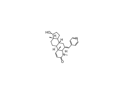 CN1C(=O)C=C[C@]2(C)[C@H]3CC[C@]4(C)[C@@H](O)CC[C@H]4[C@@H]3C/C(=C\c3ccncc3)[C@@H]12